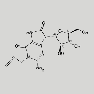 C=CCn1c(N)nc2c([nH]c(=O)n2[C@@H]2O[C@@H](CO)[C@H](O)[C@H]2O)c1=O